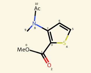 COC(=O)c1sccc1N(C)C(C)=O